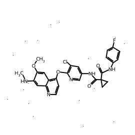 CNc1cc2nccc(Oc3ncc(NC(=O)C4(C(=O)Nc5ccc(F)cc5)CC4)cc3Cl)c2cc1OC